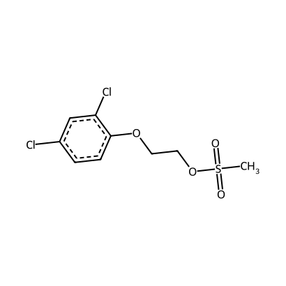 CS(=O)(=O)OCCOc1ccc(Cl)cc1Cl